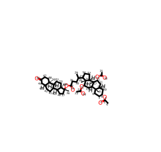 CC(=O)O[C@@H]1CC[C@@]2(C)[C@@H](C1)C[C@@H](OC(C)=O)[C@@H]1[C@@H]2C[C@H](OC(C)=O)[C@]2(C)C(C(C)CCC(=O)O[C@]3(C)CC[C@@H]4[C@H]5CC[C@@H]6CC(=O)CC[C@@]6(C)[C@@H]5CC[C@]43C)CC[C@@H]12